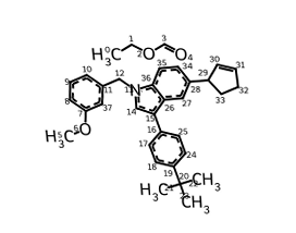 CCOC=O.COc1cccc(Cn2cc(-c3ccc(C(C)(C)C)cc3)c3cc(C4C=CCC4)ccc32)c1